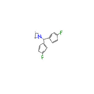 Fc1ccc(C(c2ccc(F)cc2)N2C[CH]C2)cc1